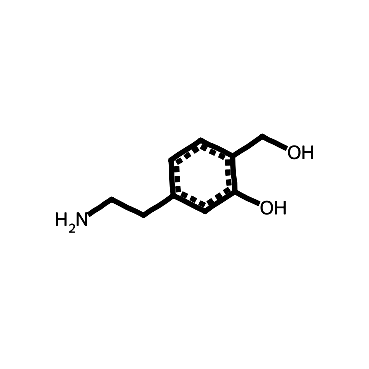 NCCc1ccc(CO)c(O)c1